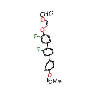 CO/C=C\Oc1ccc(-c2ccc(-c3ccc(O/C=C\OC=O)c(F)c3)c(F)c2)cc1